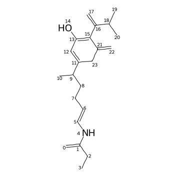 C=C(CC)N/C=C/CCC(C)C1=CC(O)=C(C(=C)C(C)C)C(=C)C1